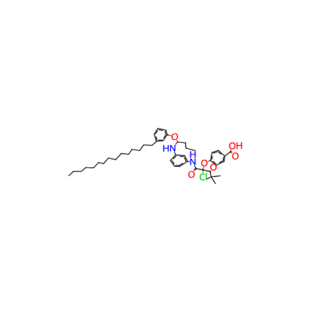 CCCCCCCCCCCCCCCc1cccc(OC(CCC)Nc2cccc(NC(=O)C(Cl)(Oc3ccc(C(=O)O)cc3)C(=O)C(C)(C)C)c2)c1